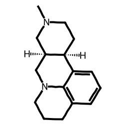 CN1CC[C@H]2c3cccc4c3N(CCC4)C[C@H]2C1